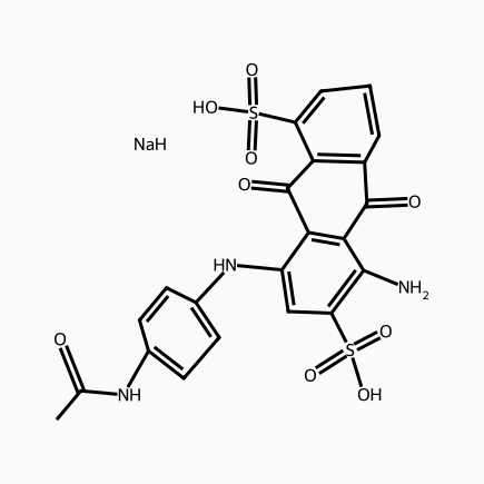 CC(=O)Nc1ccc(Nc2cc(S(=O)(=O)O)c(N)c3c2C(=O)c2c(cccc2S(=O)(=O)O)C3=O)cc1.[NaH]